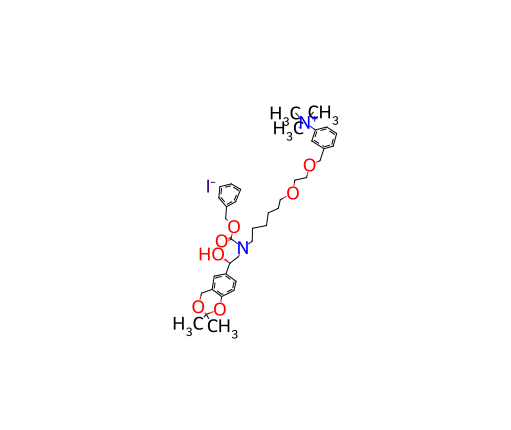 CC1(C)OCc2cc([C@@H](O)CN(CCCCCCOCCOCc3cccc([N+](C)(C)C)c3)C(=O)OCc3ccccc3)ccc2O1.[I-]